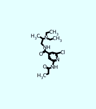 CCC(=O)Nc1cc(C(=O)NCC(C)N(CC)CC)cc(Cl)n1